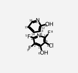 Oc1c(F)c(F)nc(F)c1Cl.Oc1ccccn1